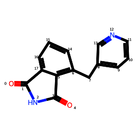 O=C1NC(=O)c2c(Cc3cccnc3)cccc21